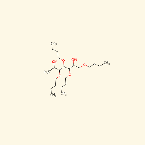 CCCCOCC(O)C(OCCCC)C(OCCCC)C(OCCCC)C(C)O